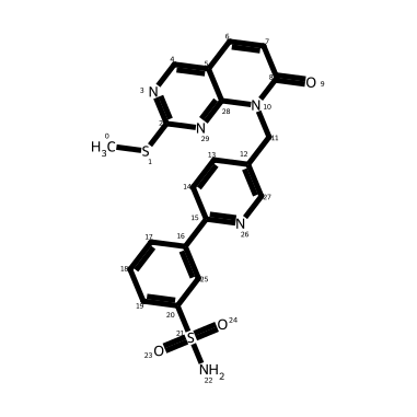 CSc1ncc2ccc(=O)n(Cc3ccc(-c4cccc(S(N)(=O)=O)c4)nc3)c2n1